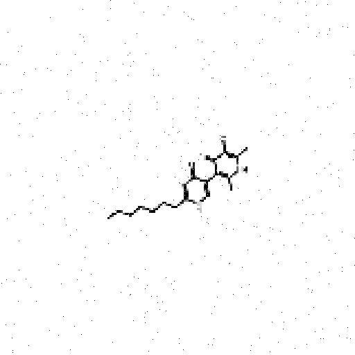 CCCCCCCc1cc(=O)c(-c2c(C)[nH]c(C)c(Cl)c2=O)c[nH]1